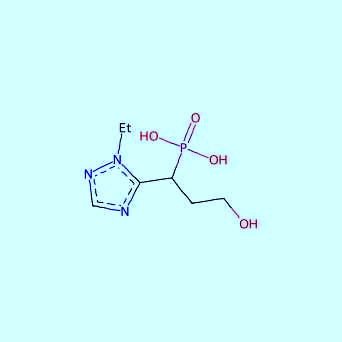 CCn1ncnc1C(CCO)P(=O)(O)O